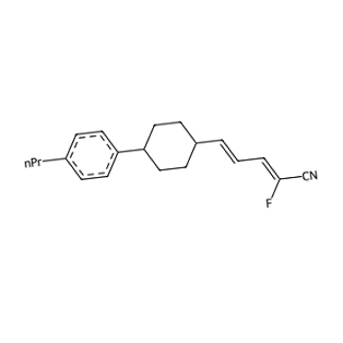 CCCc1ccc(C2CCC(C=CC=C(F)C#N)CC2)cc1